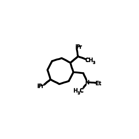 CCN(C)CC1CCC(C(C)C)CCCC1C(C)C(C)C